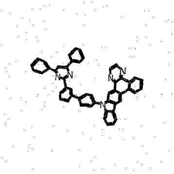 c1ccc(-c2cc(-c3ccccc3)nc(-c3cccc(-c4ccc(-n5c6ccccc6c6cc7c8ccccc8c8nccnc8c7cc65)cc4)c3)n2)cc1